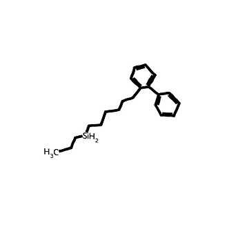 CCC[SiH2]CCCCCCc1ccccc1-c1ccccc1